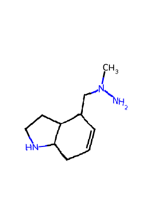 CN(N)CC1C=CCC2NCCC12